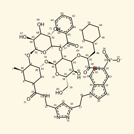 CC1O[C@@H](OC2[C@H](C)CC(C(=O)NCc3cn(CCn4ccc5cc([N+](=O)[O-])ccc54)nn3)C[C@H]2O[C@@H]2O[C@@H](CO)[C@H](O)C(O[C@@H](CC3CCCCC3)C(=O)O)C2OC(=O)c2ccccc2)[C@@H](O)C(O)[C@@H]1O